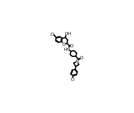 O=C(NC1CCC(C(=O)N2CC(c3ccc(Cl)cc3)C2)CC1)C1CC(O)c2cc(Cl)ccc2O1